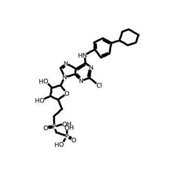 O=P(O)(O)CP(=O)(O)CCC1OC(n2cnc3c(Nc4ccc(C5CCCCC5)cc4)nc(Cl)nc32)C(O)C1O